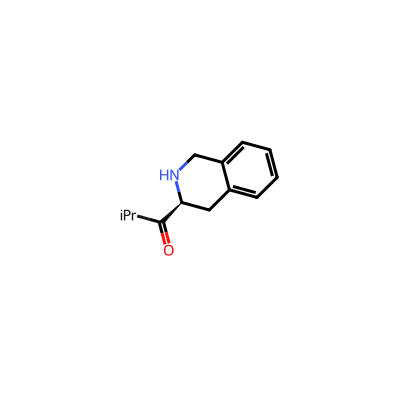 CC(C)C(=O)[C@@H]1Cc2ccccc2CN1